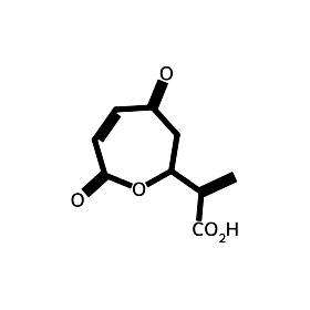 C=C(C(=O)O)C1CC(=O)C=CC(=O)O1